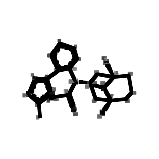 Cc1nnc(-c2ccccc2N(C(N)=O)[C@H]2C[C@H]3CCC[C@@H](C2)N3C)o1